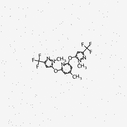 Cc1cc(Oc2cc(C(F)(F)F)nn2C)nc(Oc2cc(C(F)(F)F)nn2C)c1